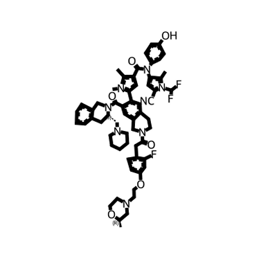 Cc1c(C(=O)N(c2ccc(O)cc2)c2cc(C#N)n(C(F)F)c2C)cc(-c2cc3c(cc2C(=O)N2Cc4ccccc4C[C@H]2CN2CCCCC2)CN(C(=O)Cc2ccc(OCCN4CCO[C@H](C)C4)cc2F)CC3)n1C